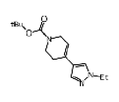 CCn1cc(C2=CCN(C(=O)OC(C)(C)C)CC2)cn1